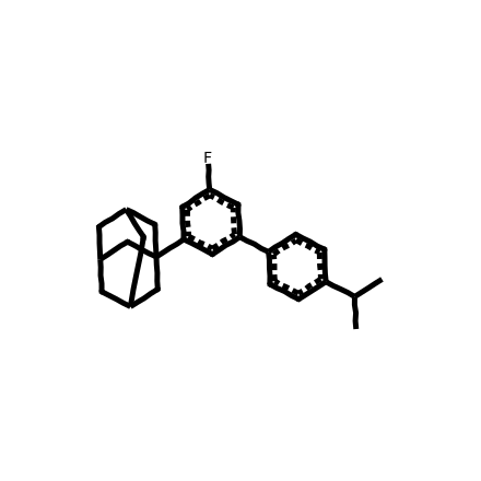 CC(C)c1ccc(-c2cc(F)cc(C34CC5CC(CC(C5)C3)C4)c2)cc1